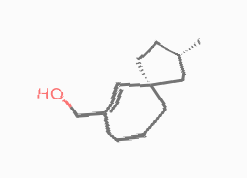 C[C@H]1CC[C@]2(C=C(CO)CCC2)C1